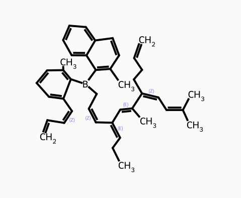 C=C/C=C\c1cccc(C)c1B(C\C=C/C(=C\CC)/C=C(C)/C(=C\C=C(C)C)CCC=C)c1c(C)ccc2ccccc12